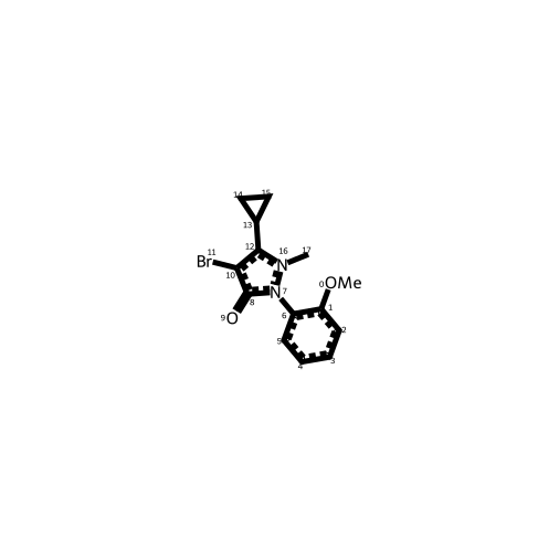 COc1ccccc1-n1c(=O)c(Br)c(C2CC2)n1C